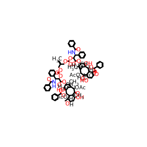 C/C=C(/COC(=O)OC(C(=O)OC1C[C@@]2(O)[C@@H](OC(=O)c3ccccc3)[C@@H]3[C@]4(OC(C)=O)CO[C@@H]4C[C@H](O)[C@@]3(C)C(=O)[C@H](OC(C)=O)C(=C1C)C2(C)C)[C@@H](NC(=O)c1ccccc1)c1ccccc1)COC(=O)OC(C(=O)OC1C[C@@]2(O)[C@@H](OC(=O)c3ccccc3)[C@H]3[C@](C)(C(=O)[C@H](OC(C)=O)C(=C1C)C2(C)C)[C@@H](O)CC1OC[C@]13OC(C)=O)[C@@H](NC(=O)c1ccccc1)c1ccccc1